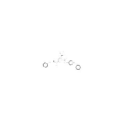 CC(C)(C)OC(=O)N1CC(NC(=O)OCc2ccccc2)CC1C(=O)Nc1ccc(Oc2ccc(F)cc2)cc1